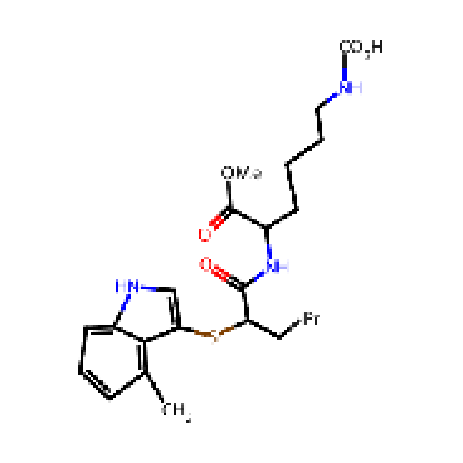 COC(=O)C(CCCCNC(=O)O)NC(=O)C(CC(C)C)Sc1c[nH]c2cccc(C)c12